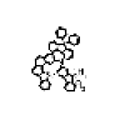 CC1(C)c2ccccc2-c2ccc(N(c3ccc4ccc5ccc6c7ccccc7[se]c6c5c4c3)c3cccc4c3-c3ccccc3C4(c3ccccc3)c3ccccc3)cc21